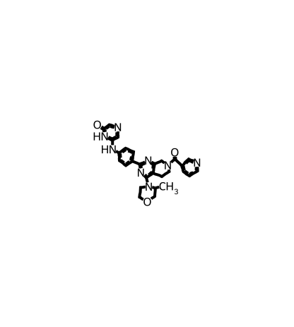 CC1COCCN1c1nc(-c2ccc(Nc3cncc(=O)[nH]3)cc2)nc2c1CCN(C(=O)c1cccnc1)C2